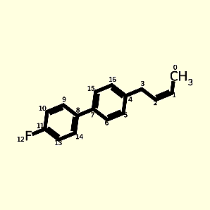 C/C=C\Cc1ccc(-c2ccc(F)cc2)cc1